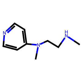 CNCCN(C)c1ccncc1